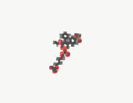 CCOC(=O)/C(=C(\COC(=O)OCCCCO[N+](=O)[O-])c1ccc(S(C)(=O)=O)cc1)c1ccccc1